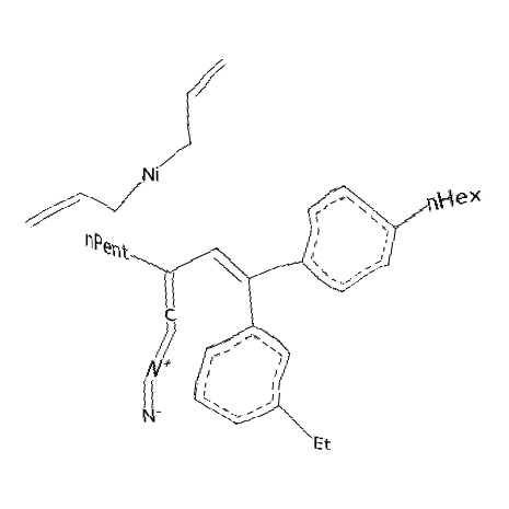 C=C[CH2][Ni][CH2]C=C.CCCCCCc1ccc(C(=CC(=C=[N+]=[N-])CCCCC)c2cccc(CC)c2)cc1